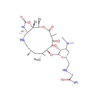 CC[C@H]1OC(=O)C(C)C(=O)[C@H](C)[C@@H](OC2OC(CNCC(N)=O)CC(N(C)C)C2O)[C@](C)(OC)C[C@@H](C)CN[C@H](C)[C@H]2NC(=O)O[C@@]21CC